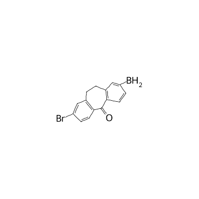 Bc1ccc2c(c1)CCc1cc(Br)ccc1C2=O